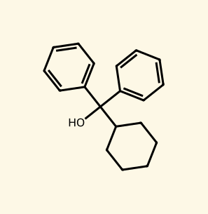 OC(c1ccccc1)(c1ccccc1)C1CCCCC1